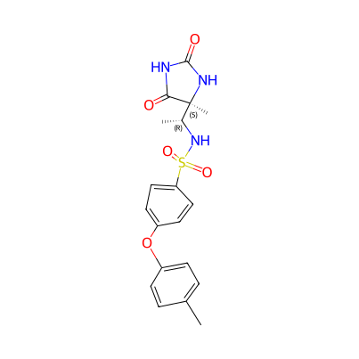 Cc1ccc(Oc2ccc(S(=O)(=O)N[C@H](C)[C@]3(C)NC(=O)NC3=O)cc2)cc1